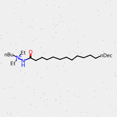 CCCCCCCCCCCCCCCCCCCCCC(=O)N[N+](CC)(CC)CCCC